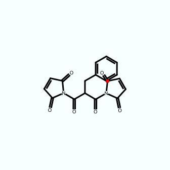 O=C1C=CC(=O)N1C(=O)C(Cc1ccccc1)C(=O)N1C(=O)C=CC1=O